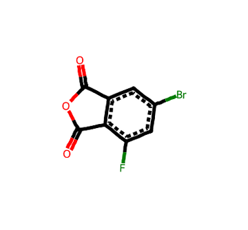 O=C1OC(=O)c2c(F)cc(Br)cc21